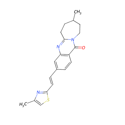 Cc1csc(/C=C/c2ccc3c(=O)n4c(nc3c2)CCC(C)CC4)n1